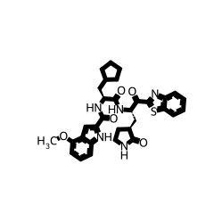 COc1cccc2[nH]c(C(=O)N[C@@H](CC3CCCC3)C(=O)N[C@@H](C[C@@H]3CCNC3=O)C(=O)c3nc4ccccc4s3)cc12